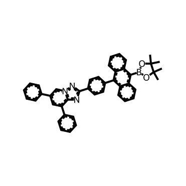 CC1(C)OB(c2c3ccccc3c(-c3ccc(-c4nc5c(-c6ccccc6)cc(-c6ccccc6)cn5n4)cc3)c3ccccc23)OC1(C)C